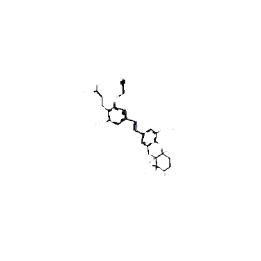 C#CCOc1cc(/C=C/c2cc3c(c(OC)c2)O[C@]2(C)CC[C@@H](O)C(C)(C)[C@H]2C3)cc(O)c1CC=C(C)C